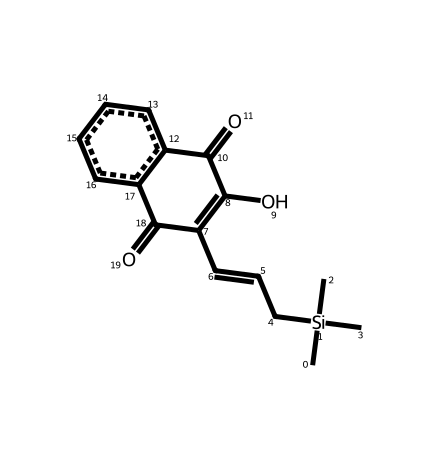 C[Si](C)(C)C/C=C/C1=C(O)C(=O)c2ccccc2C1=O